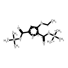 CCOc1cc(C(=O)O[Si](C)(C)C)sc1C(=O)O[Si](C)(C)C